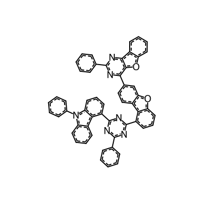 c1ccc(-c2nc(-c3cccc4oc5cc(-c6nc(-c7ccccc7)nc7c6oc6ccccc67)ccc5c34)nc(-c3cccc4c3c3ccccc3n4-c3ccccc3)n2)cc1